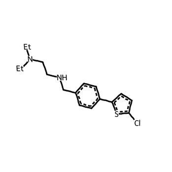 CCN(CC)CCNCc1ccc(-c2ccc(Cl)s2)cc1